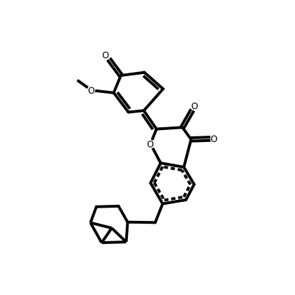 COC1=C/C(=C2\Oc3cc(CC4CCC5C6C4C56)ccc3C(=O)C2=O)C=CC1=O